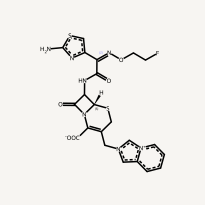 Nc1nc(/C(=N/OCCF)C(=O)NC2C(=O)N3C(C(=O)[O-])=C(Cn4cc5cccc[n+]5c4)CS[C@@H]23)cs1